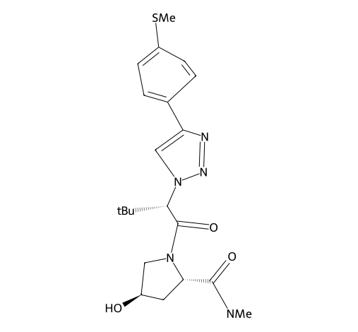 CNC(=O)[C@@H]1C[C@@H](O)CN1C(=O)[C@@H](n1cc(-c2ccc(SC)cc2)nn1)C(C)(C)C